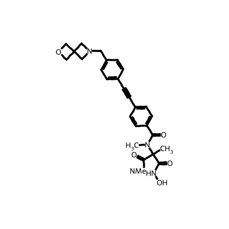 CNC(=O)C(C)(C(=O)NO)N(C)C(=O)c1ccc(C#Cc2ccc(CN3CC4(COC4)C3)cc2)cc1